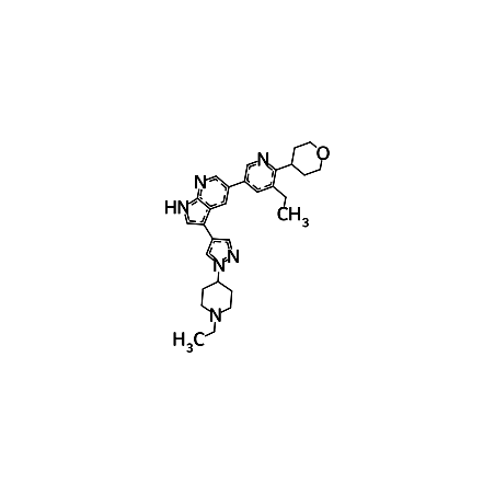 CCc1cc(-c2cnc3[nH]cc(-c4cnn(C5CCN(CC)CC5)c4)c3c2)cnc1C1CCOCC1